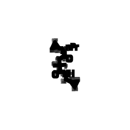 CCCN(C(=O)CC(C)(C)C(=O)NCC1CC1)C1CC1